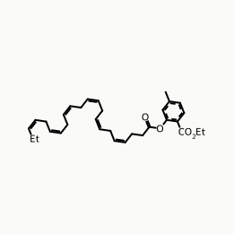 CC/C=C\C/C=C\C/C=C\C/C=C\C/C=C\C/C=C\CCC(=O)Oc1cc(C)ccc1C(=O)OCC